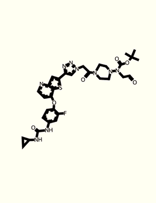 CC(C)(C)OC(=O)N(CC=O)N1CCN(C(=O)Cn2cc(-c3cc4nccc(Oc5ccc(NC(=O)NC6CC6)cc5F)c4s3)nn2)CC1